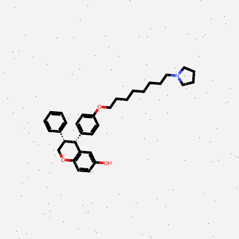 Oc1ccc2c(c1)[C@@H](c1ccc(OCCCCCCCCN3CCCC3)cc1)[C@@H](c1ccccc1)CO2